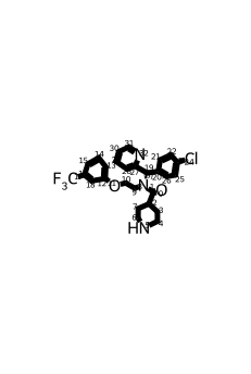 O=C(C1CCNCC1)N(CCOc1cccc(C(F)(F)F)c1)[C@@H](c1ccc(Cl)cc1)c1ccccn1